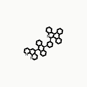 c1cc(-c2c3ccccc3c(-c3cc4cccnc4c4ncccc34)c3ccccc23)cc(-c2nc3ccccc3c3c4ccccc4c4ccccc4c23)c1